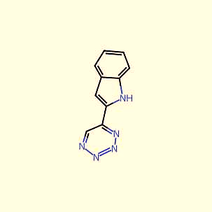 c1ccc2[nH]c(-c3cnnnn3)cc2c1